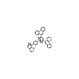 CC1CC=Cc2ccnc(-c3ccc(-c4nc(-c5cc6ccccc6c6c5C=CCC6)cc(-c5cc6ccccc6c6ccccc56)n4)cc3)c21